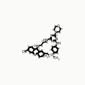 CCc1ccc2nc3cc(Cl)ccc3c(NCCCNc3nc(Nc4ccc(OC)cc4)nc(N4CCOCC4)n3)c2c1